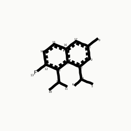 Cc1cc(C(C)C)c2c(C(C)C)c(F)ccc2c1